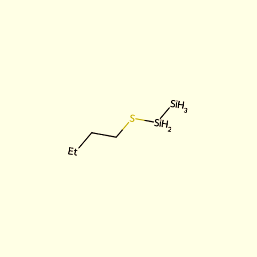 CCCCS[SiH2][SiH3]